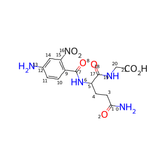 NC(=O)CCC(NC(=O)c1ccc(N)cc1[N+](=O)[O-])C(=O)NCC(=O)O